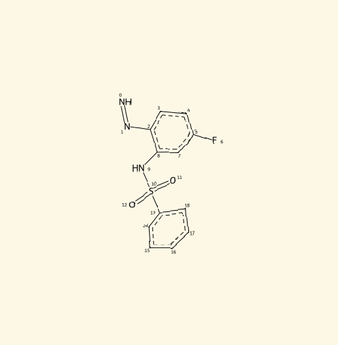 N=Nc1ccc(F)cc1NS(=O)(=O)c1ccccc1